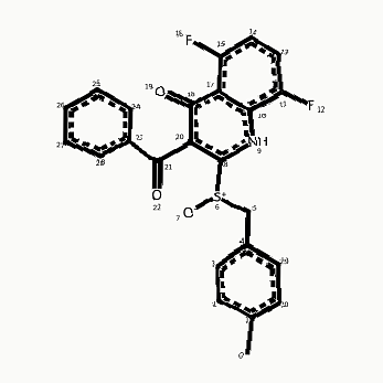 Cc1ccc(C[S+]([O-])c2[nH]c3c(F)ccc(F)c3c(=O)c2C(=O)c2ccccc2)cc1